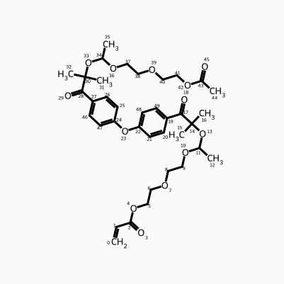 C=CC(=O)OCCOCCOC(C)OC(C)(C)C(=O)c1ccc(Oc2ccc(C(=O)C(C)(C)OC(C)OCCOCCOC(C)=O)cc2)cc1